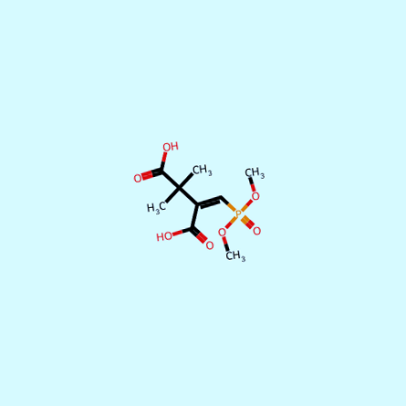 COP(=O)(C=C(C(=O)O)C(C)(C)C(=O)O)OC